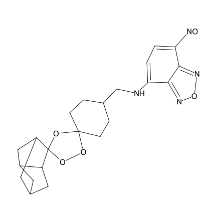 O=Nc1ccc(NCC2CCC3(CC2)OOC2(O3)C3CC4CC(C3)C2C4)c2nonc12